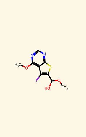 COc1ncnc2sc(C(O)OC)c(I)c12